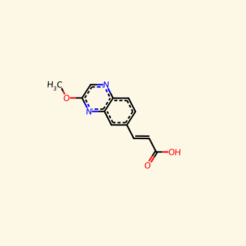 COc1cnc2ccc(/C=C/C(=O)O)cc2n1